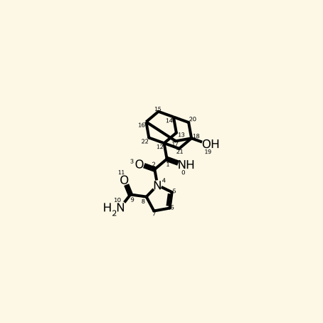 N=C(C(=O)N1C=CCC1C(N)=O)C12CC3CC(CC(O)(C3)C1)C2